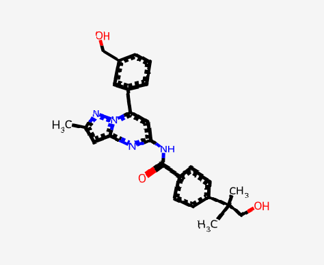 Cc1cc2nc(NC(=O)c3ccc(C(C)(C)CO)cc3)cc(-c3cccc(CO)c3)n2n1